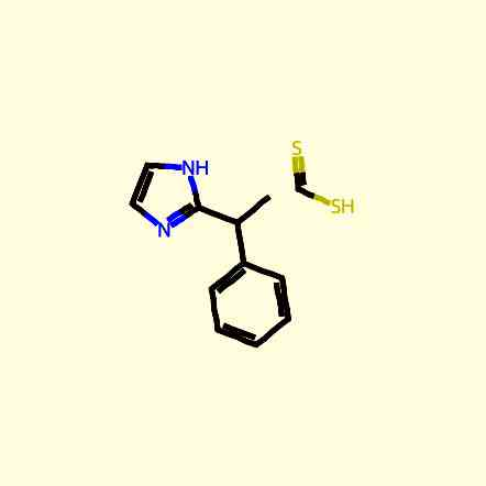 CC(c1ccccc1)c1ncc[nH]1.S=CS